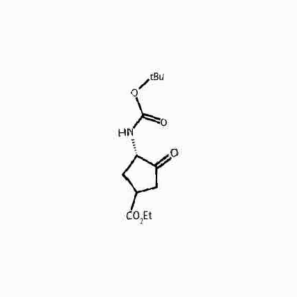 CCOC(=O)C1CC(=O)[C@@H](NC(=O)OC(C)(C)C)C1